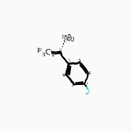 CCCC[C@H](c1ccc(F)cc1)C(F)(F)F